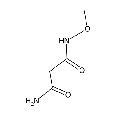 CONC(=O)CC(N)=O